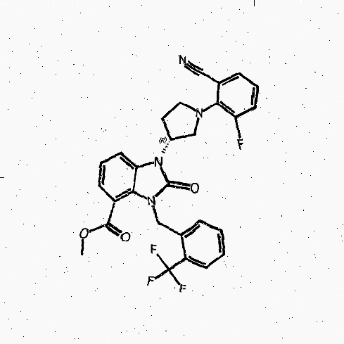 COC(=O)c1cccc2c1n(Cc1ccccc1C(F)(F)F)c(=O)n2[C@@H]1CCN(c2c(F)cccc2C#N)C1